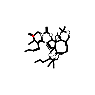 C=C(OC1C=CC23C(=O)C(C/C=C4/COC(C)(C)OC4C12O)CCC(C)(C)C(CCC)C[C@H]3C)N(CCC)/C(C)=C(/C=C\CC)C(C)CC